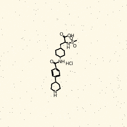 CS(=O)(=O)NC(C[C@H]1CC[C@H](NC(=O)c2ccc(C3CCNCC3)cc2)CC1)C(=O)O.Cl